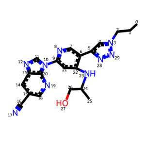 CCCn1cc(-c2cnc(-n3cnc4cc(C#N)cnc43)cc2NC(C)CO)nn1